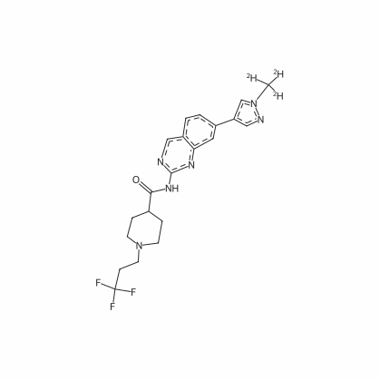 [2H]C([2H])([2H])n1cc(-c2ccc3cnc(NC(=O)C4CCN(CCC(F)(F)F)CC4)nc3c2)cn1